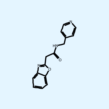 O=C(Cc1nc2ccccc2o1)NCc1ccncc1